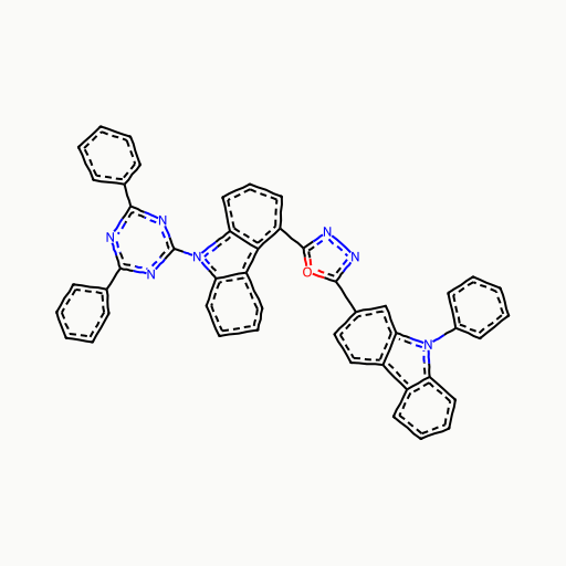 c1ccc(-c2nc(-c3ccccc3)nc(-n3c4ccccc4c4c(-c5nnc(-c6ccc7c8ccccc8n(-c8ccccc8)c7c6)o5)cccc43)n2)cc1